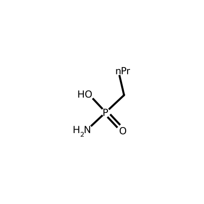 CCCCP(N)(=O)O